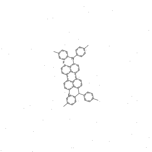 Cc1ccc(C(c2ccc(C)cc2)c2ccc3c4ccc(N(c5ccc(C)cc5)c5ccc(C)cc5)c5c(F)ccc(c6ccc(F)c2c63)c54)cc1